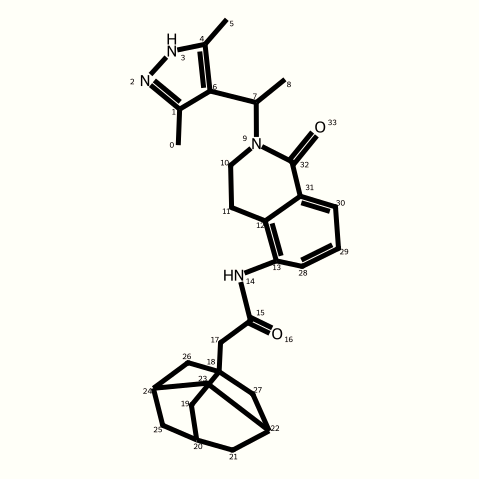 Cc1n[nH]c(C)c1C(C)N1CCc2c(NC(=O)CC34CC5CC(CC(C5)C3)C4)cccc2C1=O